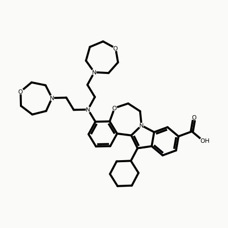 O=C(O)c1ccc2c(C3CCCCC3)c3n(c2c1)CCOc1c-3cccc1N(CCN1CCCOCC1)CCN1CCCOCC1